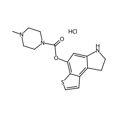 CN1CCN(C(=O)Oc2cc3c(c4ccsc24)CCN3)CC1.Cl